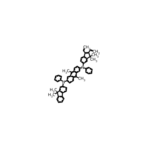 C=CC1=C(C=C)C(C)(C)c2cc(N(c3ccccc3)c3ccc4c(C)c5cc(N(c6ccccc6)c6ccc7c(c6)C(C)(C)c6ccccc6-7)ccc5c(C)c4c3)ccc21